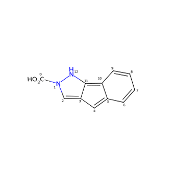 O=C(O)n1cc2cc3ccccc3c-2[nH]1